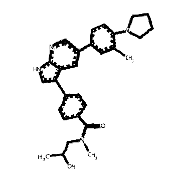 Cc1cc(-c2cnc3[nH]cc(-c4ccc(C(=O)N(C)CC(C)O)cc4)c3c2)ccc1N1CCCC1